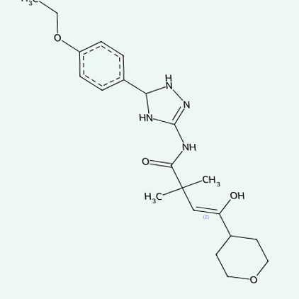 CCOc1ccc(C2NN=C(NC(=O)C(C)(C)/C=C(\O)C3CCOCC3)N2)cc1